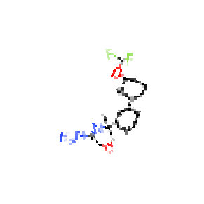 CC1(c2cccc(-c3cccc(OC(F)F)c3)c2)COCC(N)=N1